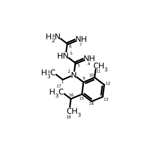 CCN(C(=N)NC(=N)N)c1c(C)cccc1C(C)C